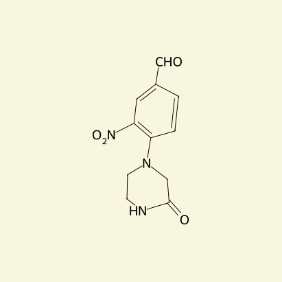 O=Cc1ccc(N2CCNC(=O)C2)c([N+](=O)[O-])c1